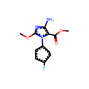 COC(=O)c1c(N)nc(OC)n1-c1ccc(F)cc1